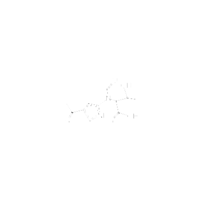 CC(=O)c1c[nH]c(N(C=O)C(C(=O)O)C(C)O)c1